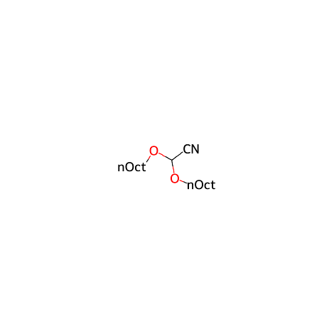 CCCCCCCCOC(C#N)OCCCCCCCC